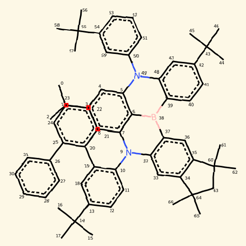 CC(C)c1cc2c3c(c1)N(c1ccc(C(C)(C)C)cc1-c1ccccc1-c1ccccc1)c1cc4c(cc1B3c1ccc(C(C)(C)C)cc1N2c1cccc(C(C)(C)C)c1)C(C)(C)CC4(C)C